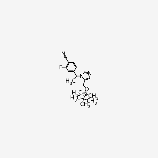 CC(c1ccc(C#N)c(F)c1)n1cncc1CO[Si](C)(C)C(C)(C)C